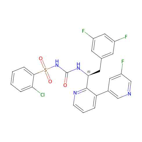 O=C(N[C@@H](Cc1cc(F)cc(F)c1)c1ncccc1-c1cncc(F)c1)NS(=O)(=O)c1ccccc1Cl